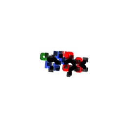 CC1OC(n2cnc3c(Cl)ncnc32)C(O)C2OC(C)(C)OC12